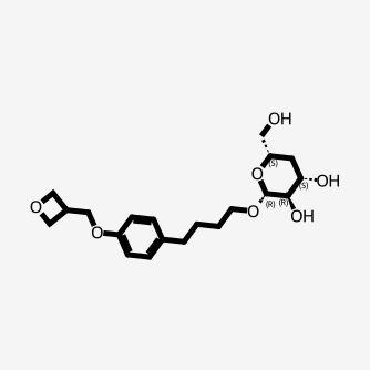 OC[C@@H]1C[C@H](O)[C@@H](O)[C@H](OCCCCc2ccc(OCC3COC3)cc2)O1